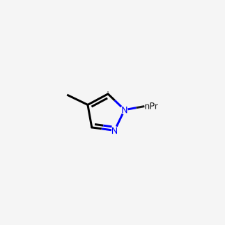 CCCn1[c]c(C)cn1